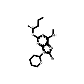 CCC[C@H](C)Oc1nc(NC)c2nc(Br)n(C3CCCCO3)c2n1